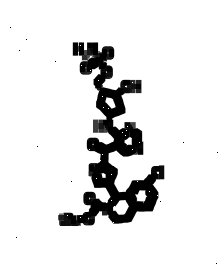 CC(C)(C)OC(=O)N1CCc2ccc(Cl)cc2C1c1csc(C(=O)c2cncnc2N[C@@H]2C[C@H](COS(N)(=O)=O)[C@@H](O)C2)c1